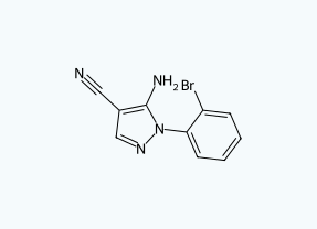 N#Cc1cnn(-c2ccccc2Br)c1N